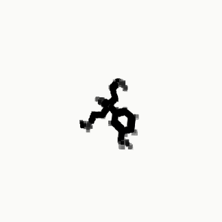 CCCP(=O)(CCC)c1cccc(N)c1